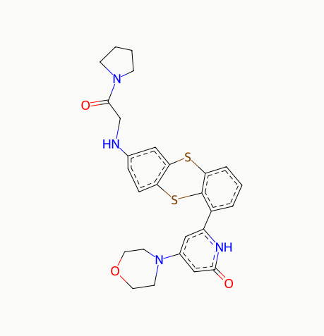 O=C(CNc1ccc2c(c1)Sc1cccc(-c3cc(N4CCOCC4)cc(=O)[nH]3)c1S2)N1CCCC1